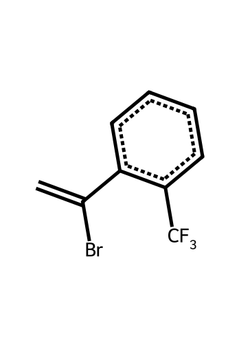 C=C(Br)c1ccccc1C(F)(F)F